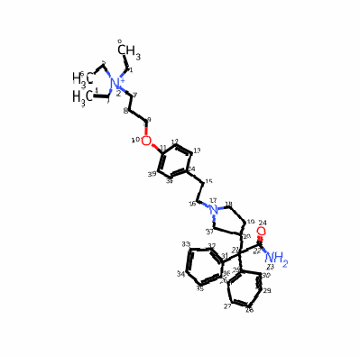 CC[N+](CC)(CC)CCCOc1ccc(CCN2CCC(C(C(N)=O)(c3ccccc3)c3ccccc3)C2)cc1